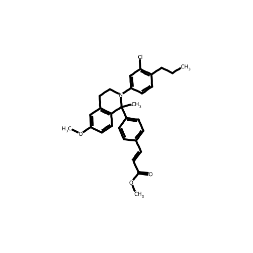 CCCc1ccc(N2CCc3cc(OC)ccc3C2(C)c2ccc(C=CC(=O)OC)cc2)cc1Cl